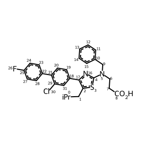 CC(C)Cc1sc(N(CCC(=O)O)Cc2ccccc2)nc1-c1ccc(-c2ccc(F)cc2)c(Cl)c1